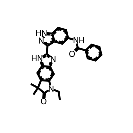 CCN1C(=O)C(C)(C)c2cc3[nH]c(-c4n[nH]c5ccc(NC(=O)c6ccccc6)cc45)nc3cc21